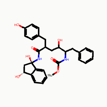 CC(C)(C)OC(=O)NC(Cc1ccccc1)C(O)CC(Cc1ccc(O)cc1)C(=O)N[C@@]1(O)C[C@@H](O)c2ccccc21